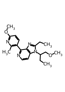 CCc1nc2c(-c3ccc(OC)nc3C)nccc2n1C(CC)COC